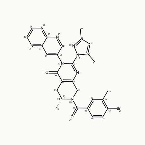 Cc1cc(C)n(-c2nc3c(c(=O)n2-c2cnc4nccnc4c2)C[C@@H](C)N(C(=O)c2ccc(Br)c(C)c2)C3)n1